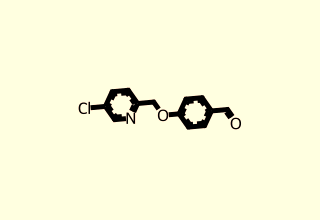 O=Cc1ccc(OCc2ccc(Cl)cn2)cc1